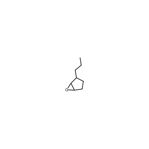 CCCC1CCC2OC12